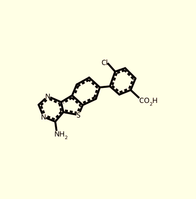 Nc1ncnc2c1sc1cc(-c3cc(C(=O)O)ccc3Cl)ccc12